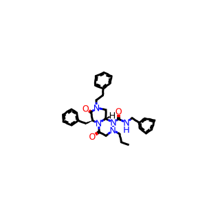 CCCN1CC(=O)N2[C@@H](Cc3ccccc3)C(=O)N(CCc3ccccc3)C[C@@H]2N1C(=O)NCc1ccccc1